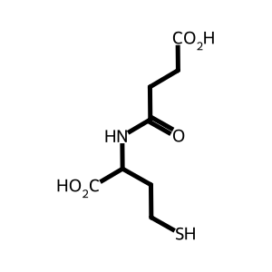 O=C(O)CCC(=O)NC(CCS)C(=O)O